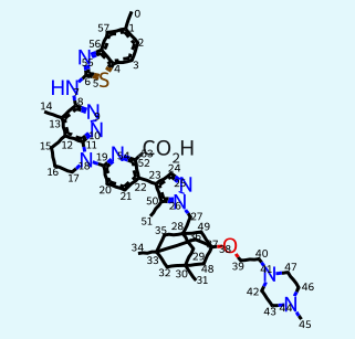 Cc1ccc2sc(Nc3nnc4c(c3C)CCCN4c3ccc(-c4cnn(CC56CC7(C)CC(C)(C5)CC(OCCN5CCN(C)CC5)(C7)C6)c4C)c(C(=O)O)n3)nc2c1